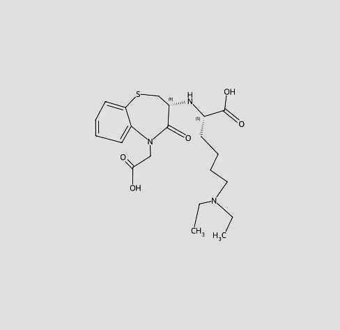 CCN(CC)CCCC[C@H](N[C@H]1CSc2ccccc2N(CC(=O)O)C1=O)C(=O)O